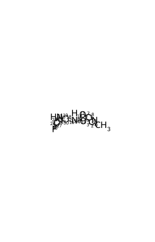 Cc1ccc2c3c(ccc2n1)OC[C@H](CNCC1CCc2[nH]c4ccc(F)cc4c2C1)O3